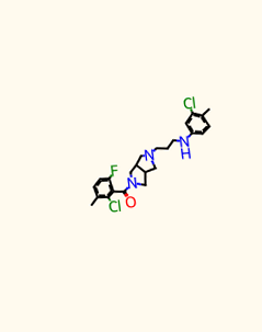 Cc1ccc(NCCCN2CC3CN(C(=O)c4c(F)ccc(C)c4Cl)CC3C2)cc1Cl